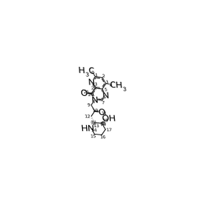 Cc1cc(C)c2ncn(CC(=O)C[C@H]3NCCC[C@@H]3O)c(=O)c2n1